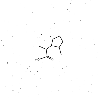 CC1CCCC1C(C)C(=O)O